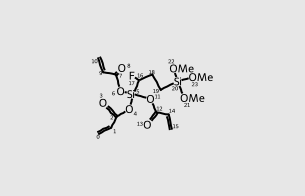 C=CC(=O)O[Si](OC(=O)C=C)(OC(=O)C=C)C(F)CC[Si](OC)(OC)OC